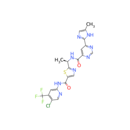 Cc1cnc(-c2cc(C(=O)N[C@H](C)c3ncc(C(=O)Nc4cc(C(F)(F)F)c(Cl)cn4)s3)ncn2)[nH]1